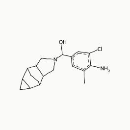 Cc1cc(C(O)N2CC3C4CCC(C5CC45)C3C2)cc(Cl)c1N